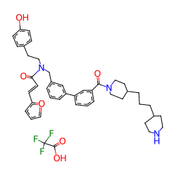 O=C(C=Cc1ccco1)N(CCc1ccc(O)cc1)Cc1cccc(-c2cccc(C(=O)N3CCC(CCCC4CCNCC4)CC3)c2)c1.O=C(O)C(F)(F)F